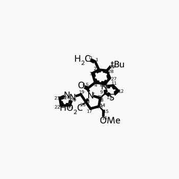 C=Cc1cc(C(=O)N2[C@@H](c3nccs3)[C@@H](COC)C[C@@]2(Cn2cccn2)C(=O)O)ccc1C(C)(C)C